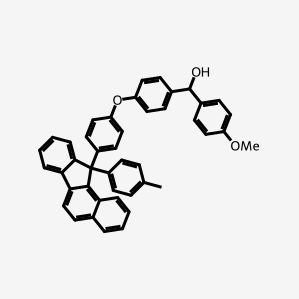 COc1ccc(C(O)c2ccc(Oc3ccc(C4(c5ccc(C)cc5)c5ccccc5-c5ccc6ccccc6c54)cc3)cc2)cc1